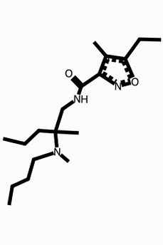 CCCCN(C)C(C)(CCC)CNC(=O)c1noc(CC)c1C